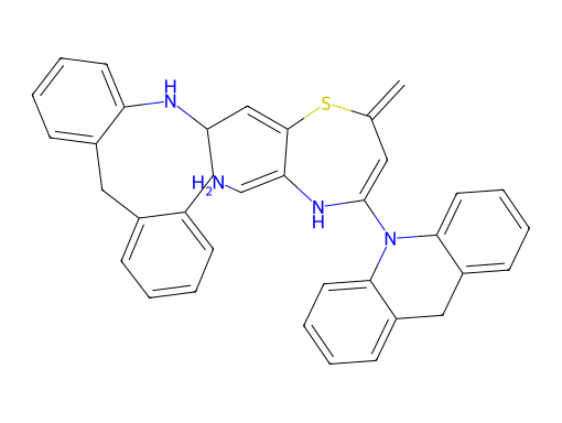 C=C1C=C(N2c3ccccc3Cc3ccccc32)NC(=C/N)/C(=C\C2Cc3ccccc3Cc3ccccc3N2)S1